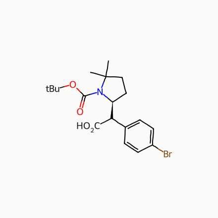 CC(C)(C)OC(=O)N1[C@H](C(C(=O)O)c2ccc(Br)cc2)CCC1(C)C